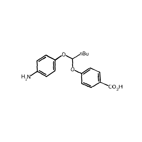 CCCCC(Oc1ccc(N)cc1)Oc1ccc(C(=O)O)cc1